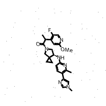 COc1cc(C(C)C(=O)N2C[C@@H](Nc3ccc(-c4cn(C)cn4)c(C)n3)C3(CC3)C2)c(F)cn1